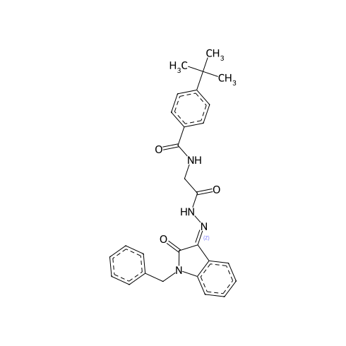 CC(C)(C)c1ccc(C(=O)NCC(=O)N/N=C2\C(=O)N(Cc3ccccc3)c3ccccc32)cc1